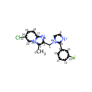 Cc1c(Cn2ccnc2-c2cccc(F)c2)nc2ccc(Cl)cn12